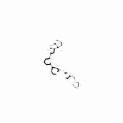 CN1CC[C@@](O)(c2cc(-c3cccc(-c4ccnc(Nc5nc(CN6CCCC6)cs5)n4)n3)no2)C1=O